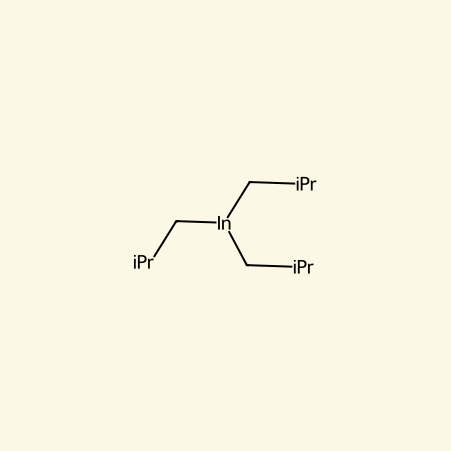 CC(C)[CH2][In]([CH2]C(C)C)[CH2]C(C)C